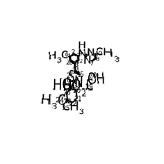 Cc1cc(Nc2nccc(C)n2)cc(-c2cnc([C@@]3(O)CCCC(C)(C)C3)s2)c1.O=C(O)O